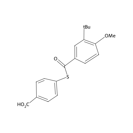 COc1ccc(C(=O)Sc2ccc(C(=O)O)cc2)cc1C(C)(C)C